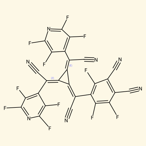 N#CC(=C1C(=C(/C#N)c2c(F)c(F)nc(F)c2F)/C1=C(/C#N)c1c(F)c(F)nc(F)c1F)c1c(F)c(F)c(C#N)c(C#N)c1F